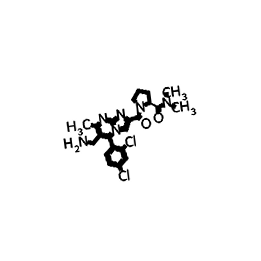 Cc1nc2nc(C(=O)N3CCC[C@H]3C(=O)N(C)C)cn2c(-c2ccc(Cl)cc2Cl)c1CN